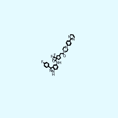 O=C(CC1CCC(C(=O)Nc2ccc3[nH]nc(-c4ccc(F)cc4)c3c2)(C(F)(F)F)C1)N1CCN(c2ccc(-c3ncccn3)cc2)CC1